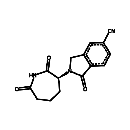 N#Cc1ccc2c(c1)CN([C@H]1CCCC(=O)NC1=O)C2=O